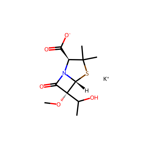 CO[C@]1(C(C)O)C(=O)N2[C@@H](C(=O)[O-])C(C)(C)S[C@@H]21.[K+]